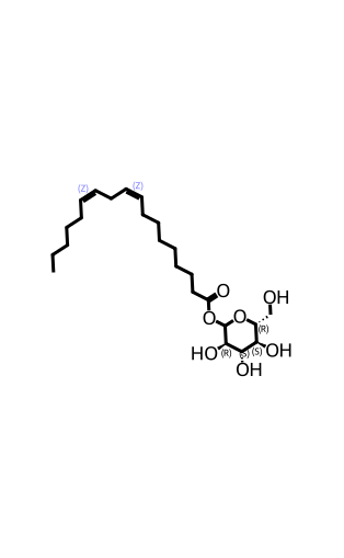 CCCCC/C=C\C/C=C\CCCCCCCC(=O)OC1O[C@H](CO)[C@@H](O)[C@H](O)[C@H]1O